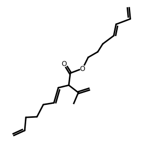 C=CC=CCCCOC(=O)C(C=CCCCC=C)C(=C)C